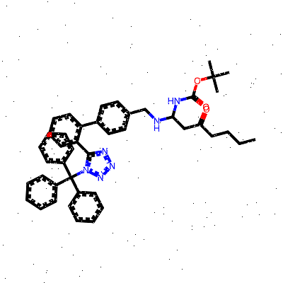 CCCCC(=O)CC(NCc1ccc(-c2ccccc2-c2nnnn2C(c2ccccc2)(c2ccccc2)c2ccccc2)cc1)NC(=O)OC(C)(C)C